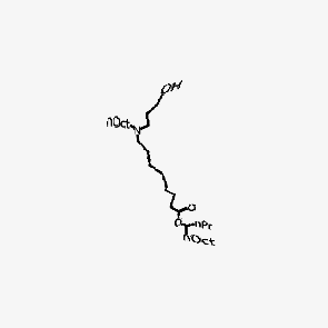 CCCCCCCCC(CCC)OC(=O)CCCCCCCN(CCCO)CCCCCCCC